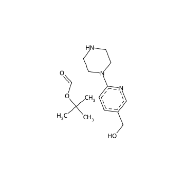 CC(C)(C)OC=O.OCc1ccc(N2CCNCC2)nc1